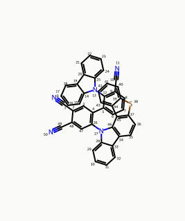 N#Cc1cc(-c2cccc(C#N)c2-n2c3ccccc3c3ccccc32)c(-n2c3ccccc3c3ccc4sc5ccccc5c4c32)cc1C#N